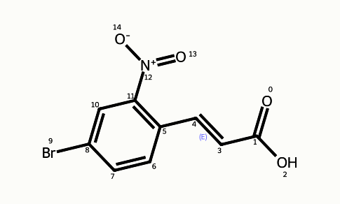 O=C(O)/C=C/c1ccc(Br)cc1[N+](=O)[O-]